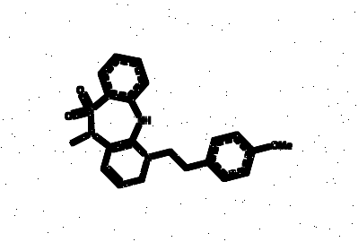 COc1ccc(CCN2CC=CC3=C2Nc2ccccc2S(=O)(=O)N3C)cc1